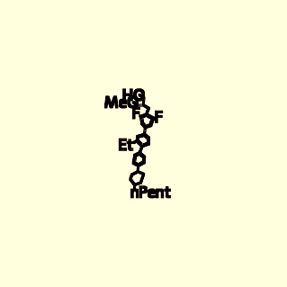 CCCCCC1CCC(c2ccc(-c3ccc(-c4cc(F)c(CC(CO)COC)c(F)c4)cc3CC)cc2)CC1